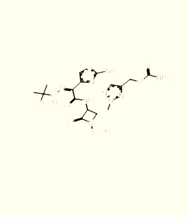 CC(C)(O/N=C(\C(=O)NC1C(=O)N(S(=O)(=O)O)[C@H]1Cn1ncc(COC(N)=O)n1)c1csc(N)n1)C(=O)O